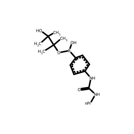 CCCNC(=O)Nc1ccc(B(O)OC(C)(C)C(C)(C)O)cc1